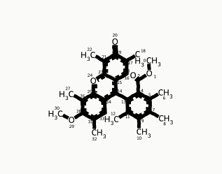 COC(=O)c1c(C)c(C)c(C)c(C)c1-c1c2cc(C)c(=O)c(C)c-2oc2c(C)c(OC)c(C)cc12